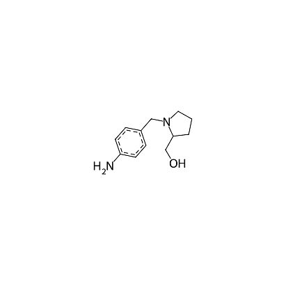 Nc1ccc(CN2CCCC2CO)cc1